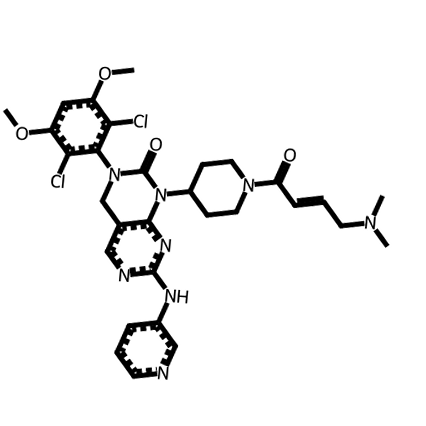 COc1cc(OC)c(Cl)c(N2Cc3cnc(Nc4cccnc4)nc3N(C3CCN(C(=O)C=CCN(C)C)CC3)C2=O)c1Cl